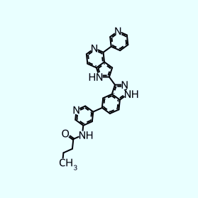 CCCC(=O)Nc1cncc(-c2ccc3[nH]nc(-c4cc5c(-c6cccnc6)nccc5[nH]4)c3c2)c1